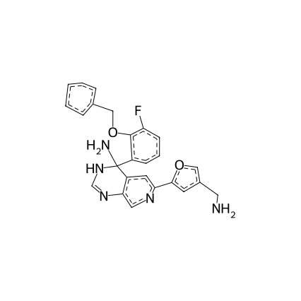 NCc1coc(-c2cc3c(cn2)N=CNC3(N)c2cccc(F)c2OCc2ccccc2)c1